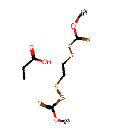 CC(C)OC(=S)SSCCSSC(=S)OC(C)C.CCC(=O)O